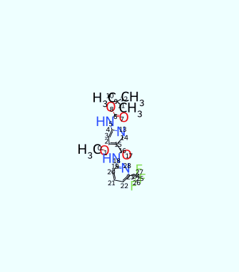 COc1cc(NC(=O)OC(C)(C)C)ncc1C(=O)Nc1cccc(C(F)(F)F)n1